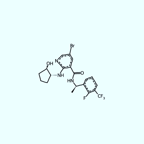 C[C@@H](NC(=O)c1cc(Br)cnc1N[C@@H]1CCC[C@H]1O)c1cccc(C(F)(F)F)c1F